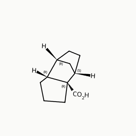 O=C(O)[C@@]12CCC[C@@H]1[C@@H]1CC[C@H]2C1